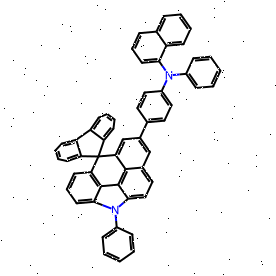 c1ccc(N(c2ccc(-c3cc4c5c(ccc6c5c5c(cccc5n6-c5ccccc5)C45c4ccccc4-c4ccccc45)c3)cc2)c2cccc3ccccc23)cc1